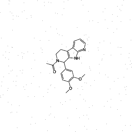 COc1ccc(C2c3[nH]c4ncccc4c3CCN2C(C)=O)cc1OC